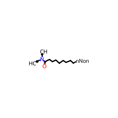 C#CN(C#C)C(=O)CCCCCCCCCCCCCCCCC